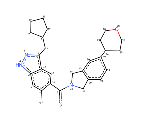 Cc1cc2[nH]nc(CC3CCCC3)c2cc1C(=O)N1Cc2ccc(C3CCOCC3)cc2C1